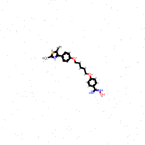 Cc1nc(-c2ccc(OCCCCCOc3ccc(C(=N)NO)cc3)cc2)c(C(C)C)s1